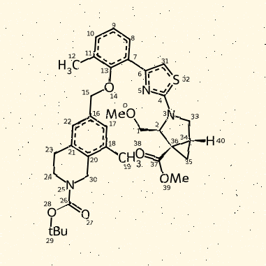 COC[C@H]1N(c2nc(-c3cccc(C)c3OCc3cc(C)c4c(c3)CCN(C(=O)OC(C)(C)C)C4)cs2)C[C@@H]2C[C@@]21C(=O)OC